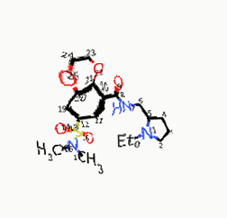 CCN1CCCC1CNC(=O)c1cc(S(=O)(=O)N(C)C)cc2c1OCCO2